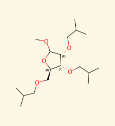 COC1O[C@H](COCC(C)C)[C@@H](OCC(C)C)[C@H]1OCC(C)C